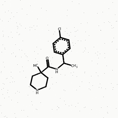 CC(NC(=O)C1(C#N)CCNCC1)c1ccc(Cl)cc1